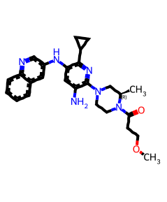 COCCC(=O)N1CCN(c2nc(C3CC3)c(Nc3cnc4ccccc4c3)cc2N)C[C@H]1C